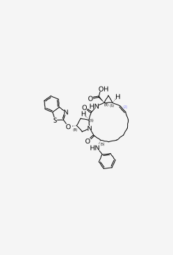 O=C1N[C@]2(C(=O)O)C[C@H]2/C=C\CCCCC[C@H](Nc2ccccc2)C(=O)N2C[C@H](Oc3nc4ccccc4s3)C[C@@H]12